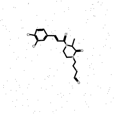 CC1C(=O)N(CCCC=O)CCN1C(=O)C=Cc1ccc(Cl)c(Cl)c1